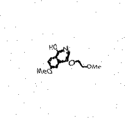 COCCOc1cnc(O)c2ccc(OC)cc12